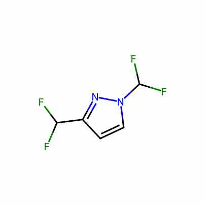 FC(F)c1ccn(C(F)F)n1